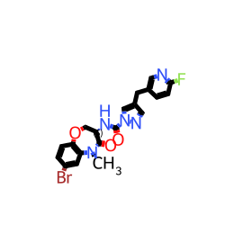 CN1C(=O)[C@@H](NC(=O)n2cc(Cc3ccc(F)nc3)cn2)COc2ccc(Br)cc21